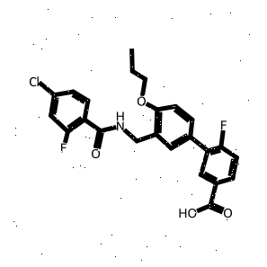 CCCOc1ccc(-c2cc(C(=O)O)ccc2F)cc1CNC(=O)c1ccc(Cl)cc1F